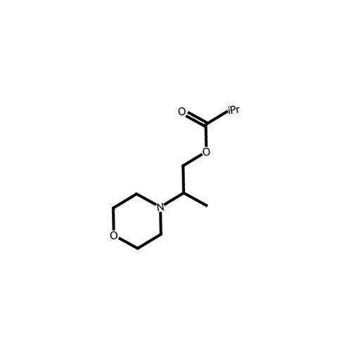 CC(C)C(=O)OCC(C)N1CCOCC1